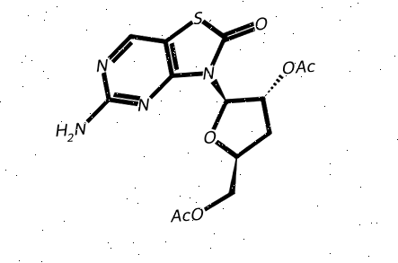 CC(=O)OC[C@@H]1C[C@@H](OC(C)=O)[C@H](n2c(=O)sc3cnc(N)nc32)O1